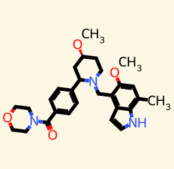 COc1cc(C)c2[nH]ccc2c1CN1CC[C@H](OC)CC1c1ccc(C(=O)N2CCOCC2)cc1